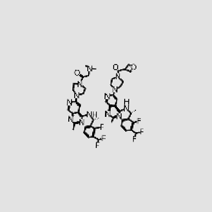 Cc1nc(N[C@H](C)c2cccc(C(F)F)c2F)c2cc(N3CCN(C(=O)C4COC4)CC3)ncc2n1.Cc1nc(N[C@H](C)c2cccc(C(F)F)c2F)c2cc(N3CCN(C(=O)CN(C)C)CC3)ncc2n1